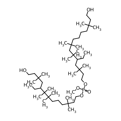 CCC(CC(C)(C)CCOP(=O)(OC)OCCC(C)(C)CCCC(C)(C)C(C)(C)C(CC)CC(C)(C)CCO)C(C)(C)CC(C)(C)CCCCC(C)(C)CCO